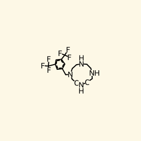 FC(F)(F)c1cc(CN2CCNCCNCCNCC2)cc(C(F)(F)F)c1